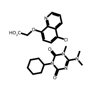 CN(C)c1nc(=O)n(C2CCCCC2)c(=O)n1C.O=C(O)COc1ccc(Cl)c2cccnc12